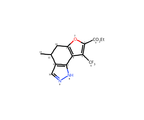 CCOC(=O)c1oc2c(c1C(F)(F)F)-c1[nH]ncc1C(C)C2